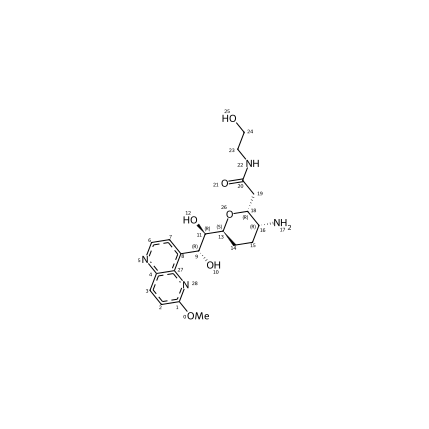 COc1ccc2nccc([C@@H](O)[C@@H](O)[C@@H]3CC[C@@H](N)[C@@H](CC(=O)NCCO)O3)c2n1